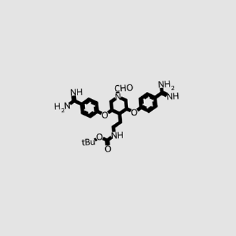 CC(C)(C)OC(=O)NCCC1C(Oc2ccc(C(=N)N)cc2)CN(C=O)CC1Oc1ccc(C(=N)N)cc1